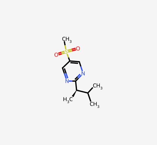 CC(C)[C@@H](C)c1ncc(S(C)(=O)=O)cn1